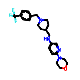 FC(F)(F)c1ccc(CN2CCC(CNc3ccc(N4CCOCC4)nc3)CC2)cc1